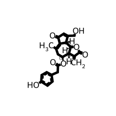 C=C1C(=O)O[C@@H]2[C@H]3C(CO)=CC(=O)C3=C(C)C[C@H](OC(=O)Cc3ccc(O)cc3)[C@@H]12